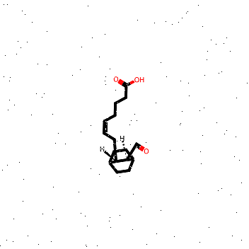 O=C[C@H]1C2CCC(CC2)[C@@H]1C/C=C\CCCC(=O)O